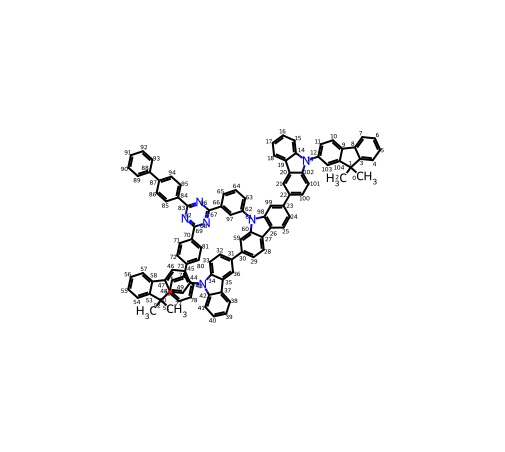 CC1(C)c2ccccc2-c2ccc(-n3c4ccccc4c4cc(-c5ccc6c7ccc(-c8ccc9c(c8)c8ccccc8n9-c8ccc9c(c8)C(C)(C)c8ccccc8-9)cc7n(-c7cccc(-c8nc(-c9ccc(-c%10ccccc%10)cc9)nc(-c9ccc(-c%10ccccc%10)cc9)n8)c7)c6c5)ccc43)cc21